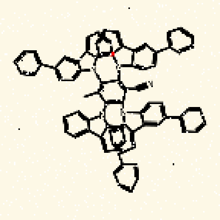 Cc1c(-n2c3ccccc3c3cc(-c4ccccc4)ccc32)c(-n2c3ccccc3c3cc(-c4ccccc4)ccc32)c(C#N)c(-n2c3ccccc3c3cc(-c4ccccc4)ccc32)c1-n1c2ccccc2c2cc(-c3ccccc3)ccc21